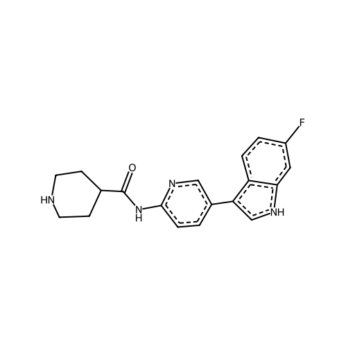 O=C(Nc1ccc(-c2c[nH]c3cc(F)ccc23)cn1)C1CCNCC1